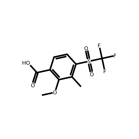 COc1c(C(=O)O)ccc(S(=O)(=O)C(F)(F)F)c1C